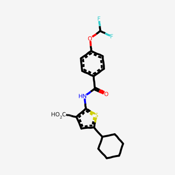 O=C(Nc1sc(C2CCCCC2)cc1C(=O)O)c1ccc(OC(F)F)cc1